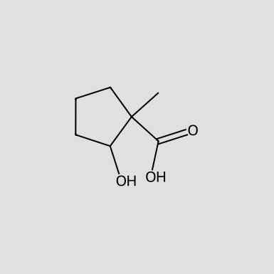 CC1(C(=O)O)CCCC1O